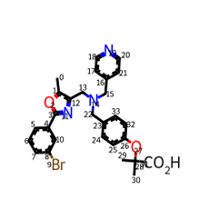 Cc1oc(-c2cccc(Br)c2)nc1CN(Cc1ccncc1)Cc1ccc(OC(C)(C)C(=O)O)cc1